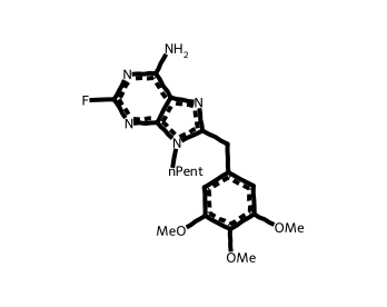 CCCCCn1c(Cc2cc(OC)c(OC)c(OC)c2)nc2c(N)nc(F)nc21